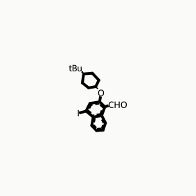 CC(C)(C)[C@H]1CC[C@H](Oc2cc(I)c3ccccc3c2C=O)CC1